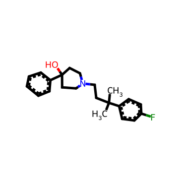 CC(C)(CCN1CCC(O)(c2ccccc2)CC1)c1ccc(F)cc1